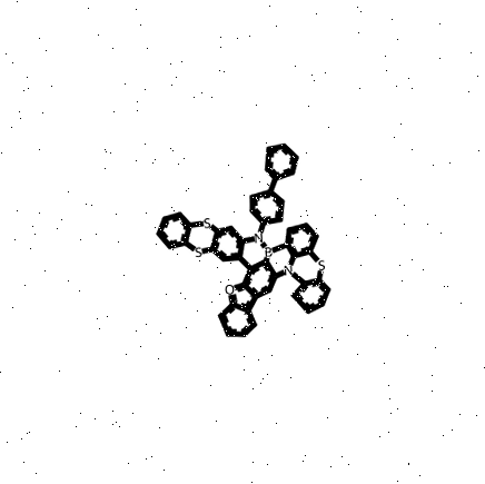 c1ccc(-c2ccc(N3B4c5cccc6c5N(c5ccccc5S6)c5cc6c(oc7ccccc76)c(c54)-c4cc5c(cc43)Sc3ccccc3S5)cc2)cc1